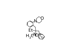 CCC(Cc1ccccc1)(Cc1ccccc1N1CCOCC1)N(C)C